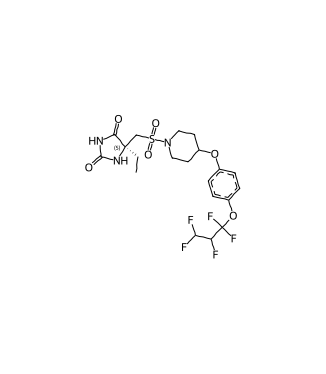 CC[C@]1(CS(=O)(=O)N2CCC(Oc3ccc(OC(F)(F)C(F)C(F)F)cc3)CC2)NC(=O)NC1=O